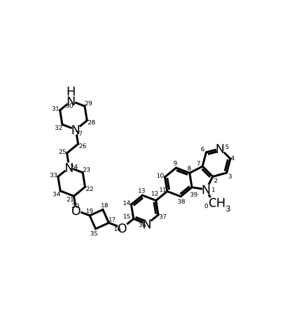 Cn1c2ccncc2c2ccc(-c3ccc(OC4CC(OC5CCN(CCN6CCNCC6)CC5)C4)nc3)cc21